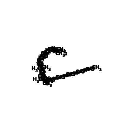 COCCOCCOCCOCCOCCOCCOCCOCCOCCOC(=O)C(C)(C)CC(C)(C)C(=O)Oc1ccc(C(C)(C)c2ccc(Oc3ccc(S(=O)(=O)c4ccc(Oc5ccc(C(C)(C)C)cc5)cc4)cc3)cc2)cc1